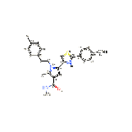 CCCCNC(=O)c1cc(-c2csc(-c3ccc(OC)cc3)n2)n(CCc2ccc(C)cc2)c1C